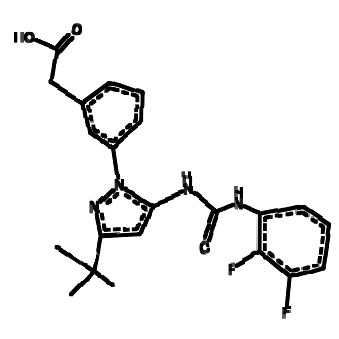 CC(C)(C)c1cc(NC(=O)Nc2cccc(F)c2F)n(-c2cccc(CC(=O)O)c2)n1